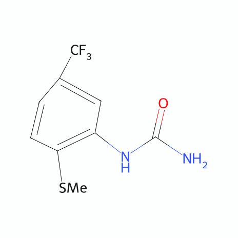 CSc1ccc(C(F)(F)F)cc1NC(N)=O